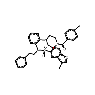 Cc1ccc(C(=O)N2CCN(c3ccccc3N(CCc3ccccc3)S(=O)(=O)c3ccc4occ(C)c4c3)CC2)cc1